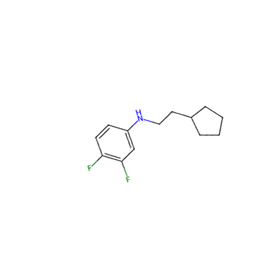 Fc1ccc(NCCC2CCCC2)cc1F